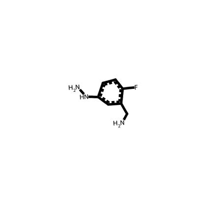 NCc1cc(NN)ccc1F